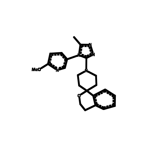 COc1ccc(-n2c(C)nnc2N2CCC3(CC2)OCCc2ccccc23)cn1